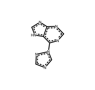 c1nc(-n2cncn2)c2[nH]cnc2n1